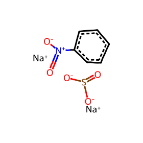 O=S([O-])[O-].O=[N+]([O-])c1ccccc1.[Na+].[Na+]